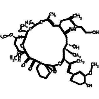 C=C(C[C@@H]1/C=C(\C)C[C@H](C)C[C@H](OC)[C@H]2O[C@@](O)(C(=O)C(=O)N3CCCC[C@H]3C(=O)O[C@H](/C(C)=C/[C@@H]3CC[C@@H](O)[C@H](OC)C3)[C@H](C)[C@@H](O)CC1=N)[C@H](C)C[C@@H]2OC)OCCO